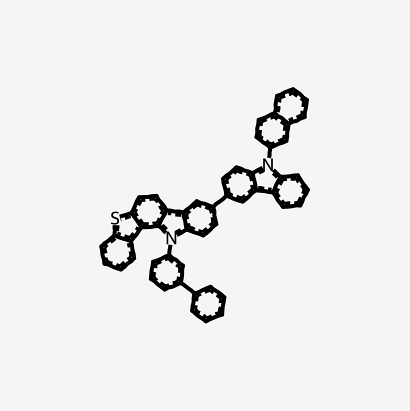 c1ccc(-c2cccc(-n3c4ccc(-c5ccc6c(c5)c5ccccc5n6-c5ccc6ccccc6c5)cc4c4ccc5sc6ccccc6c5c43)c2)cc1